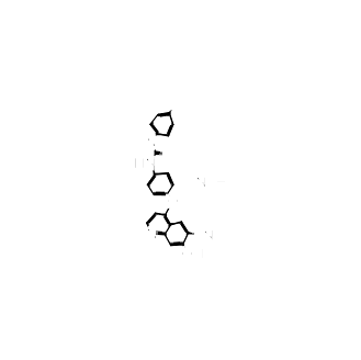 N#Cc1cc2c(Oc3ccc(NC(=O)Nc4ccc(F)cc4)cc3)ccnc2cc1O.[NaH]